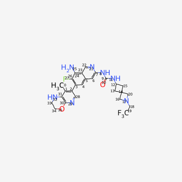 Cc1c(-c2cc3cc(NC(=O)NC4CC5(C4)CN(CC(F)(F)F)C5)ncc3c(N)c2F)cnc2c1NCCO2